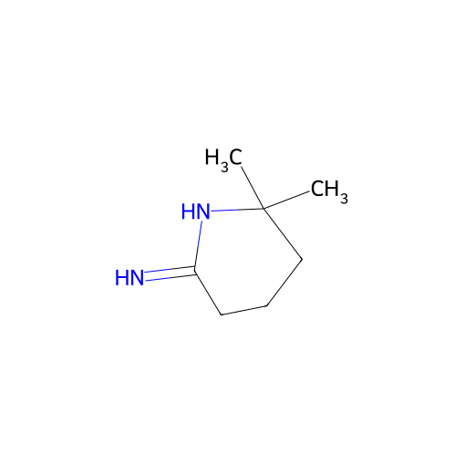 CC1(C)CCCC(=N)N1